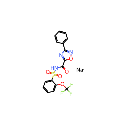 O=C(NS(=O)(=O)c1ccccc1OC(F)(F)F)c1nc(-c2ccccc2)no1.[Na]